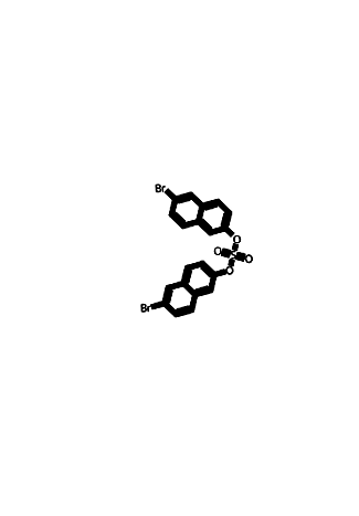 O=S(=O)(Oc1ccc2cc(Br)ccc2c1)Oc1ccc2cc(Br)ccc2c1